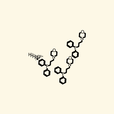 [C]=O.[H-].[H-].[H-].[Rh+3].c1ccc(P(CCCN2CCOCC2)c2ccccc2)cc1.c1ccc(P(CCCN2CCOCC2)c2ccccc2)cc1.c1ccc(P(CCCN2CCOCC2)c2ccccc2)cc1